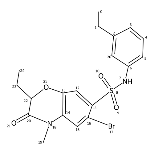 CCc1cccc(NS(=O)(=O)c2cc3c(cc2Br)N(C)C(=O)C(CC)O3)c1